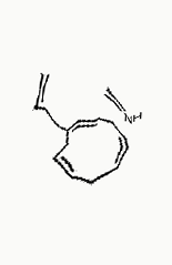 C=Cc1ccccc1.C=N